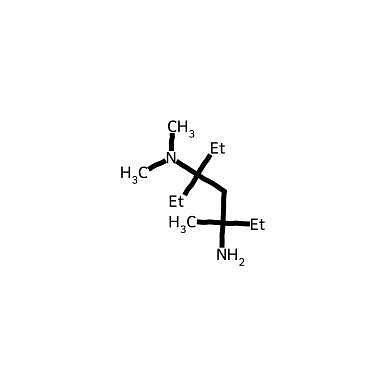 CCC(C)(N)CC(CC)(CC)N(C)C